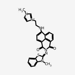 Cn1cc[n+](CCNc2ccc3c4c(cccc24)C(=O)N(N=c2sc4ccccc4n2C)C3=O)c1